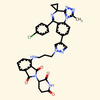 Cc1nnc2n1-c1ccc(-c3cnn(CCCNc4cccc5c4C(=O)N(C4CCC(=O)NC4=O)C5=O)c3)cc1C(c1ccc(Cl)cc1)=NC21CC1